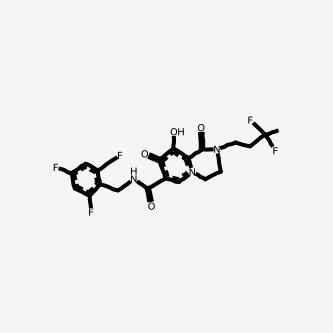 CC(F)(F)CCN1CCn2cc(C(=O)NCc3c(F)cc(F)cc3F)c(=O)c(O)c2C1=O